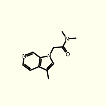 Cc1cn(CC(=O)N(C)C)c2cnccc12